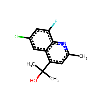 Cc1cc(C(C)(C)O)c2cc(Cl)cc(F)c2n1